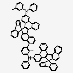 Cc1cccc(N(c2ccccc2)c2ccc3c4c(c5ccccc5c3c2)-c2c(ccc3c(-c5cccc(N(c6ccccc6)c6ccc7c8c(c9ccccc9c7c6)-c6c(ccc7ccccc67)C86c7ccccc7-c7ccccc76)c5C)cccc23)C42c3ccccc3-c3ccccc32)c1